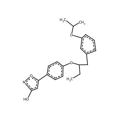 CCC(Cc1cccc(OC(C)C)c1)Oc1ccc(-c2cc(O)no2)cc1